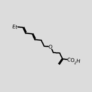 C=C(CCOCC/C=C/C=C/CC)C(=O)O